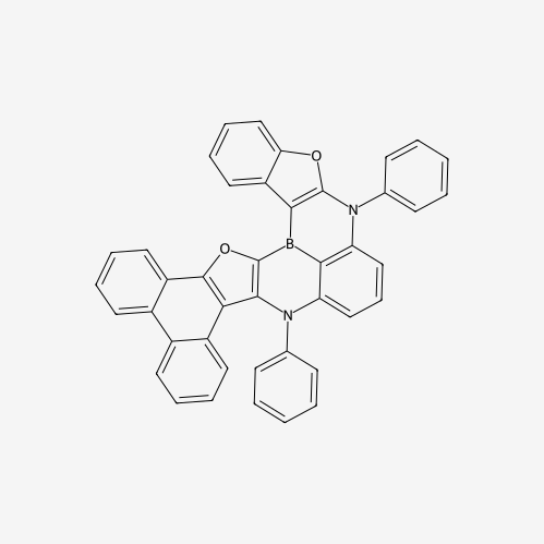 c1ccc(N2c3cccc4c3B(c3oc5c6ccccc6c6ccccc6c5c3N4c3ccccc3)c3c2oc2ccccc32)cc1